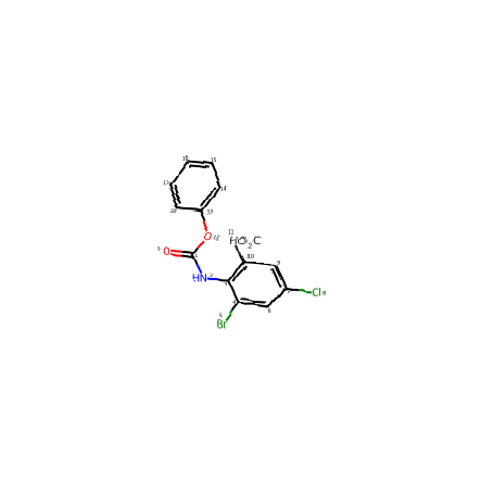 O=C(Nc1c(Br)cc(Cl)cc1C(=O)O)Oc1ccccc1